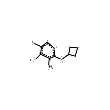 Cc1c(Cl)cnc(NC2CCC2)c1N